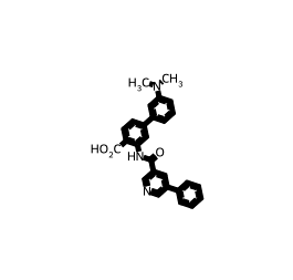 CN(C)c1cccc(-c2ccc(C(=O)O)c(NC(=O)c3cncc(-c4ccccc4)c3)c2)c1